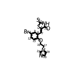 O=C1NC(=S)S/C1=C\c1cc(Br)ccc1OCCn1ccnc1